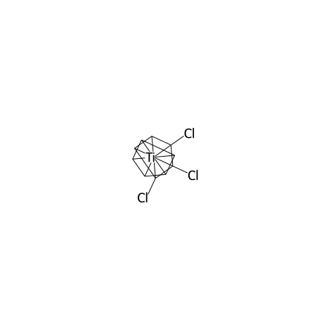 Cl[C]12[CH]3[CH]4[C]5(Cl)[C]1(Cl)[Ti]34251678[CH]2[CH]1[CH]6[CH]7[CH]28